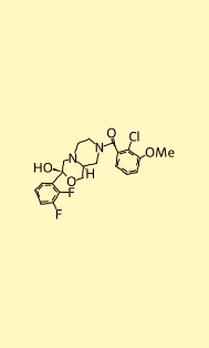 COc1cccc(C(=O)N2CCN3C[C@@](O)(c4cccc(F)c4F)OC[C@@H]3C2)c1Cl